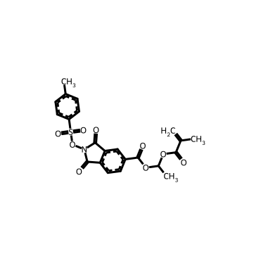 C=C(C)C(=O)OC(C)OC(=O)c1ccc2c(c1)C(=O)N(OS(=O)(=O)c1ccc(C)cc1)C2=O